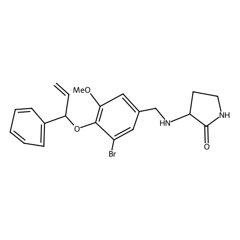 C=CC(Oc1c(Br)cc(CNC2CCNC2=O)cc1OC)c1ccccc1